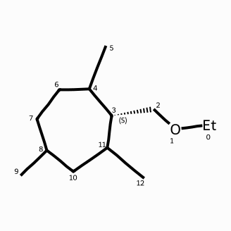 CCOC[C@H]1C(C)CCC(C)CC1C